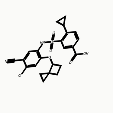 N#Cc1cc(NS(=O)(=O)c2cc(C(=O)O)ccc2C2CC2)c(OC2CCC23CC3)cc1Cl